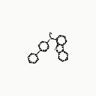 CC(C)(C)N(c1ccc(-c2ccccc2)cc1)c1cccc2c1oc1ccccc12